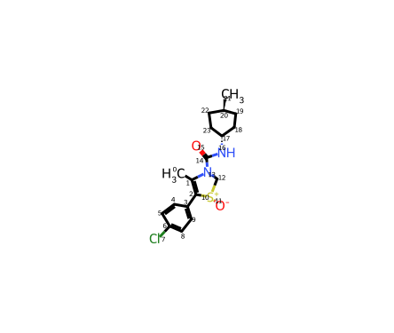 CC1=C(c2ccc(Cl)cc2)[S+]([O-])CN1C(=O)N[C@H]1CC[C@H](C)CC1